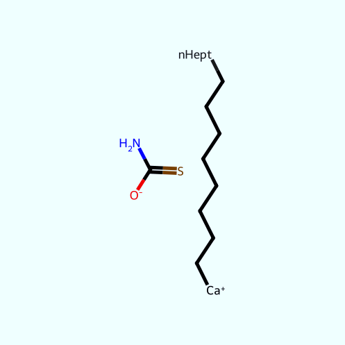 CCCCCCCCCCCCCC[CH2][Ca+].NC([O-])=S